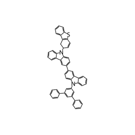 C1=CC(n2c3ccccc3c3cc(-c4ccc5c(c4)c4ccccc4n5-c4cc(-c5ccccc5)cc(-c5ccccc5)c4)ccc32)Cc2c1sc1ccccc21